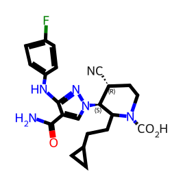 N#C[C@@H]1CCN(C(=O)O)C(CCC2CC2)[C@H]1n1cc(C(N)=O)c(Nc2ccc(F)cc2)n1